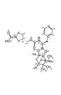 CC1(C)[C@@H]2C[C@H]3OB([C@H](Cc4ccccc4)NC(=O)OC[C@H]4CCN(C(=O)O)C4)O[C@@]3(C)[C@H]1C2